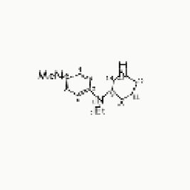 CCN(c1ccc(NC)cc1)C1CCCNC1